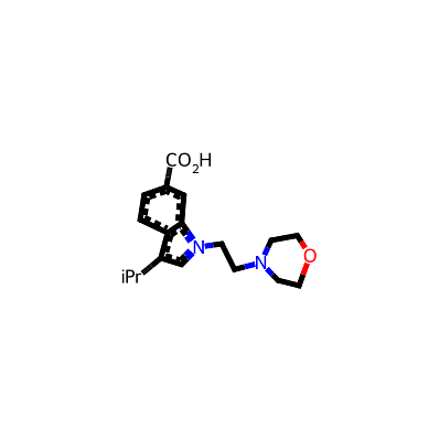 CC(C)c1cn(CCN2CCOCC2)c2cc(C(=O)O)ccc12